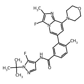 Cc1ccc(C(=O)Nc2cnn(C(C)(C)C)c2F)cc1-c1cc(N2CCOCC2)c2nc(C)c(F)n2c1